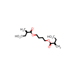 C=C(CC(=O)O)C(=O)OCCCCOC(=O)C(=C)CC(=O)O